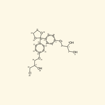 OCC(O)COc1ccc(C2(c3ccc(OCC(O)CCl)cc3)OCCO2)cc1